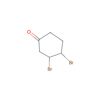 O=C1CCC(Br)C(Br)C1